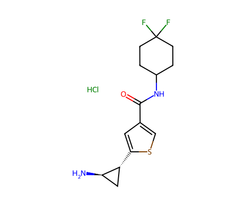 Cl.N[C@@H]1C[C@H]1c1cc(C(=O)NC2CCC(F)(F)CC2)cs1